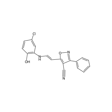 N#Cc1c(-c2ccccc2)noc1C=CNc1cc(Cl)ccc1O